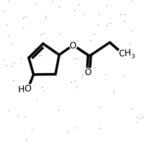 CCC(=O)OC1C=CC(O)C1